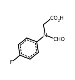 O=CN(CC(=O)O)c1ccc(F)cc1